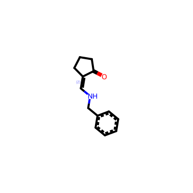 O=C1CCC/C1=C/NCc1ccccc1